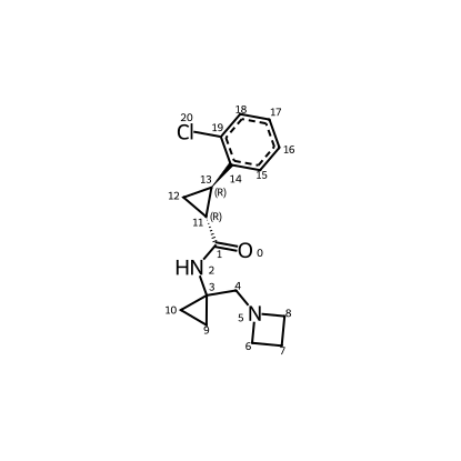 O=C(NC1(CN2CCC2)CC1)[C@@H]1C[C@H]1c1ccccc1Cl